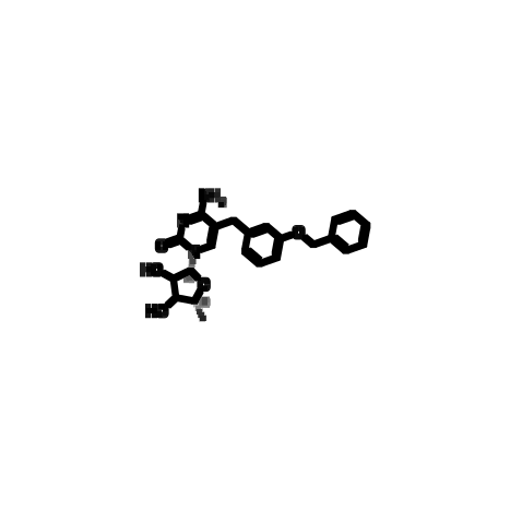 C[C@H]1O[C@@H](n2cc(Cc3cccc(OCc4ccccc4)c3)c(N)nc2=O)C(O)C1O